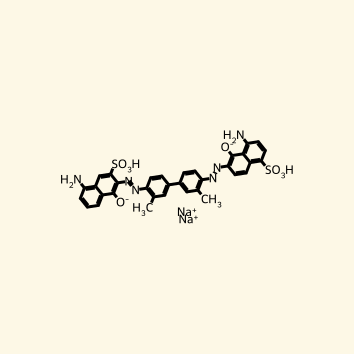 Cc1cc(-c2ccc(N=Nc3c(S(=O)(=O)O)cc4c(N)cccc4c3[O-])c(C)c2)ccc1N=Nc1ccc2c(S(=O)(=O)O)ccc(N)c2c1[O-].[Na+].[Na+]